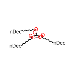 CCCCCCCCCCCCCCCCCC(=O)OCC(CC)(COC(=O)CCCCCCCCCCCCCCCCC)COC(=O)CCCCCCCCCCCCCCCCC